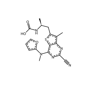 Cc1c(C[C@H](C)NC(=O)O)sc2c(N(C)c3ccco3)nc(C#N)nc12